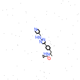 CC(Cc1ccc(-c2cnc(NCc3ccncc3)nc2)cc1)NC(=O)C1CC1